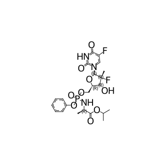 CC(C)OC(=O)[C@@H](C)NP(=O)(OC[C@H]1O[C@@H](n2cc(F)c(=O)[nH]c2=O)[C@](C)(F)[C@@H]1O)Oc1ccccc1